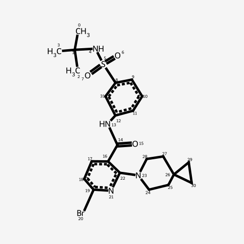 CC(C)(C)NS(=O)(=O)c1cccc(NC(=O)c2ccc(Br)nc2N2CCC3(CC2)CC3)c1